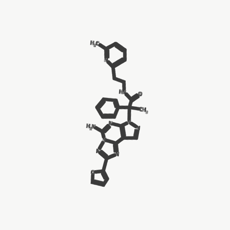 Cc1cccc(CCNC(=O)C(C)(c2ccccc2)n2ncc3c2nc(N)n2nc(-c4ccco4)nc32)n1